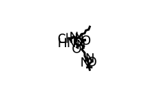 CCCCCn1c(=O)n(CCCCc2noc(C(C)(C)C)n2)c(=O)c2[nH]c(Cl)nc21